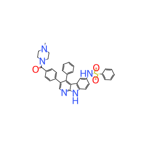 CN1CCN(C(=O)c2ccc(-c3cnc4[nH]c5ccc(NS(=O)(=O)c6ccccc6)cc5c4c3-c3ccccc3)cc2)CC1